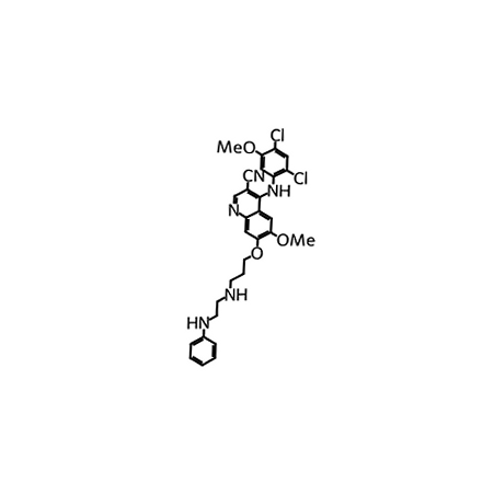 COc1cc(Nc2c(C#N)cnc3cc(OCCCNCCNc4ccccc4)c(OC)cc23)c(Cl)cc1Cl